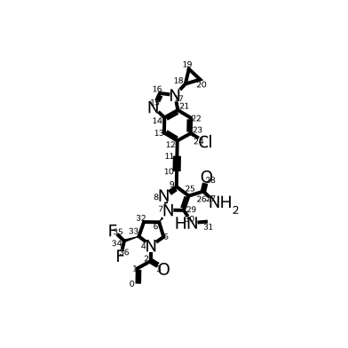 C=CC(=O)N1C[C@@H](n2nc(C#Cc3cc4ncn(C5CC5)c4cc3Cl)c(C(N)=O)c2NC)C[C@@H]1C(F)F